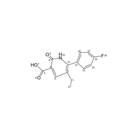 CCc1cc(C(=O)O)c(=O)[nH]c1-c1ccc(F)cc1